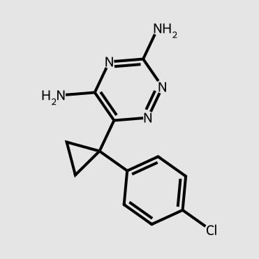 Nc1nnc(C2(c3ccc(Cl)cc3)CC2)c(N)n1